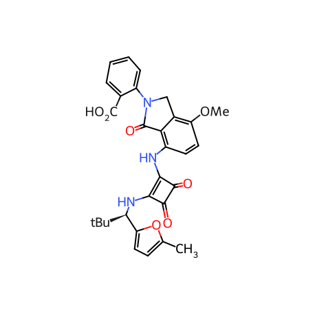 COc1ccc(Nc2c(N[C@@H](c3ccc(C)o3)C(C)(C)C)c(=O)c2=O)c2c1CN(c1ccccc1C(=O)O)C2=O